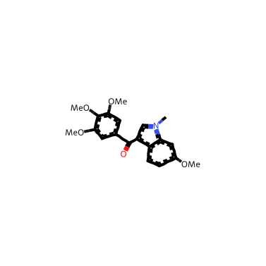 COc1ccc2c(C(=O)c3cc(OC)c(OC)c(OC)c3)cn(C)c2c1